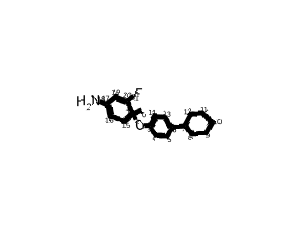 CC1(Oc2ccc(C3CCCCC3)cc2)CC=C(N)C=C1F